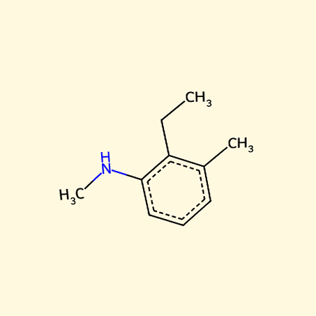 CCc1c(C)cccc1NC